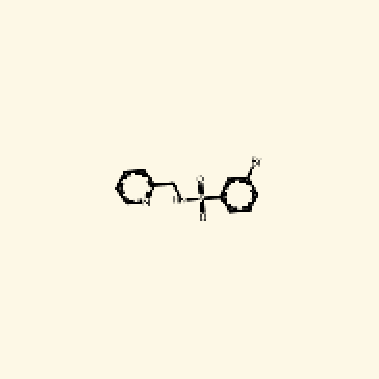 O=S(=O)(NCc1ccccn1)c1cccc(Br)c1